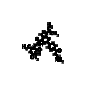 Cc1cc(C)c(CNC(=O)c2cc(C3=CCN(C(=O)CCN)CC3)nc3c2cnn3C(C)C)c(=O)[nH]1